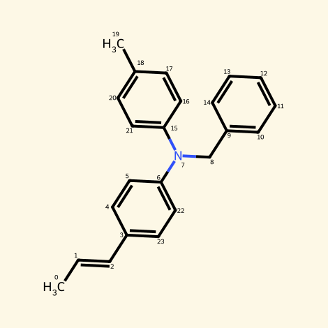 CC=Cc1ccc(N(Cc2ccccc2)c2ccc(C)cc2)cc1